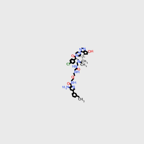 CCc1cccc(-c2cnc(C(=O)NCCOCCNCC(=O)NCCN(C[C@@H](C(=O)N3CCN(c4ncnc5c4[C@H](C)C[C@H]5O)CC3)c3ccc(Cl)cc3)C(C)C)c(N)c2)c1